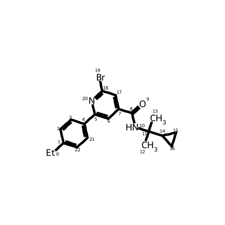 CCc1ccc(-c2cc(C(=O)NC(C)(C)C3CC3)cc(Br)n2)cc1